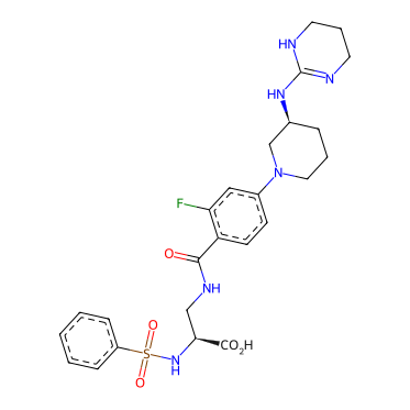 O=C(NC[C@H](NS(=O)(=O)c1ccccc1)C(=O)O)c1ccc(N2CCC[C@H](NC3=NCCCN3)C2)cc1F